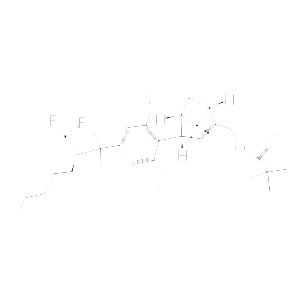 CCCCC[C@@H](C(F)(F)F)C(C)(C)c1cc(OC)c([C@H]2C=C(COC(=O)C(C)(C)C)[C@H]3C[C@@H]2C3(C)C)c(OC)c1